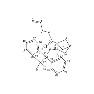 C=CCCC(=O)C12CC(C1)C[C@@]2(C)C[Si](c1ccccc1)(c1ccccc1)C(C)(C)C